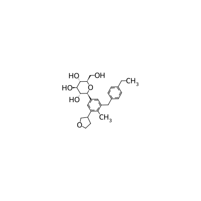 CCc1ccc(Cc2cc([C@@H]3O[C@H](CO)[C@@H](O)[C@H](O)[C@H]3O)cc(C3CCOC3)c2C)cc1